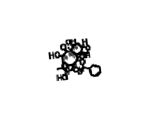 CC1=C2[C@@H](O)C(=O)[C@@]3(C)[C@H]([C@H](OC(=O)c4ccccc4)[C@](O)(C[C@@H]1O)C2(C)C)[C@]1(O)CO[C@@H]1C[C@@H]3O